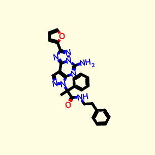 CC(C(=O)NCCc1ccccc1)(c1ccccc1)n1ncc2c1nc(N)n1nc(-c3ccco3)nc21